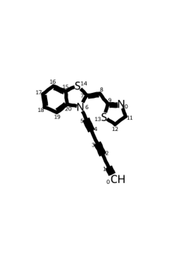 C#CC#CC#CN1C(=CC2=NCCS2)Sc2ccccc21